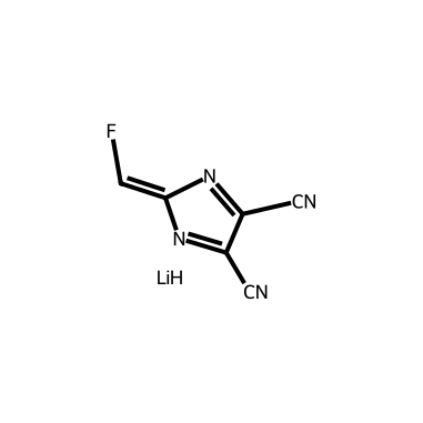 N#CC1=NC(=CF)N=C1C#N.[LiH]